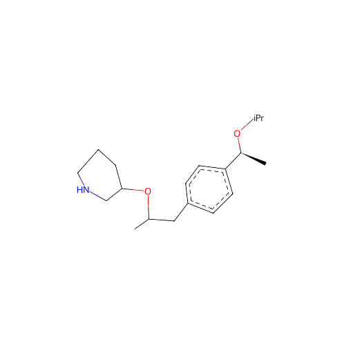 CC(C)O[C@@H](C)c1ccc(CC(C)OC2CCCNC2)cc1